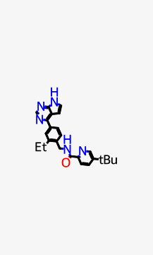 CCc1cc(-c2ncnc3[nH]ccc23)ccc1CNC(=O)c1ccc(C(C)(C)C)cn1